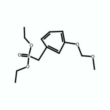 CCOP(=O)(Cc1cccc(OCOC)c1)OCC